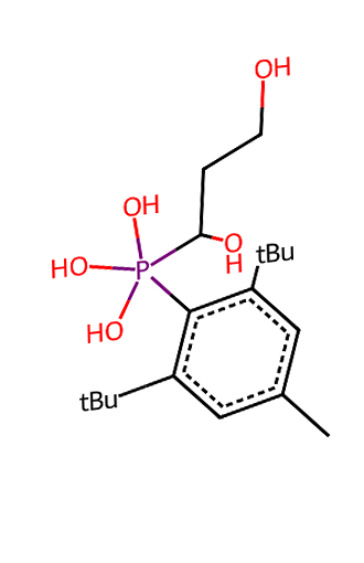 Cc1cc(C(C)(C)C)c(P(O)(O)(O)C(O)CCO)c(C(C)(C)C)c1